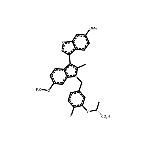 COc1ccc2c(-c3c(C)n(Cc4ccc(F)c(O[C@H](C)C(=O)O)c4)c4cc(OC(F)(F)F)ccc34)noc2c1